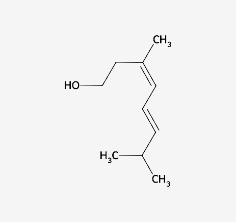 CC(=CC=CC(C)C)CCO